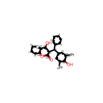 CC(C)c1cc(C(c2ccccc2)c2c(O)c3ccccc3oc2=O)cc(C(C)C)c1O